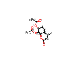 CCCC(=O)Oc1ccc2c(C)cc(=O)oc2c1OC(=O)CCC